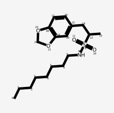 CCCCCCCCNS(=O)(=O)C(C)Cc1ccc2c(c1)OCO2